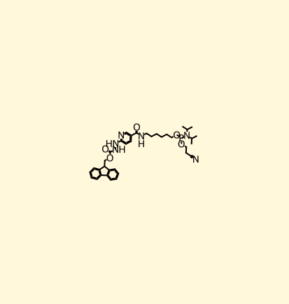 CC(C)N(C(C)C)P(OCCC#N)OCCCCCCNC(=O)c1ccc(NNC(=O)OCC2c3ccccc3-c3ccccc32)nc1